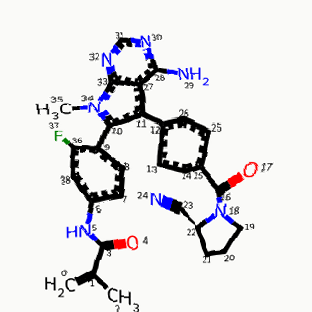 C=C(C)C(=O)Nc1ccc(-c2c(-c3ccc(C(=O)N4CCC[C@H]4C#N)cc3)c3c(N)ncnc3n2C)c(F)c1